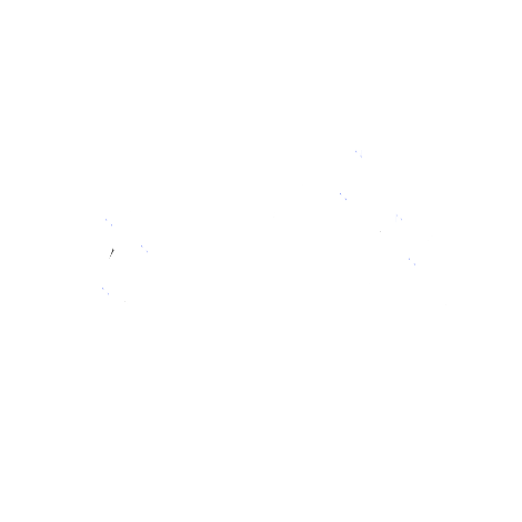 Cc1cccc(CC(=O)N2CCC[C@H]2c2ncc(-c3ccc(-c4ccc(-c5cnc([C@@H]6CCCN6C(=O)[C@@H](c6ccccc6)N(C)C(=O)O)[nH]5)cc4)cc3)[nH]2)c1